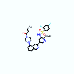 COc1ncc(-c2cc3c(N4CCN(C(=O)C=CC(C)=O)CC4)cccc3cn2)cc1NS(=O)(=O)c1ccc(F)cc1F